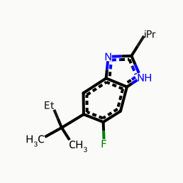 CCC(C)(C)c1cc2nc(C(C)C)[nH]c2cc1F